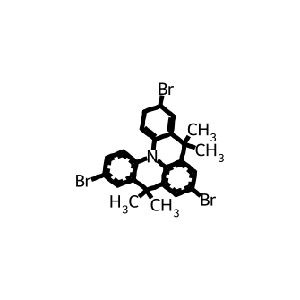 CC1(C)C2=CC(Br)CC=C2N2c3ccc(Br)cc3C(C)(C)c3cc(Br)cc1c32